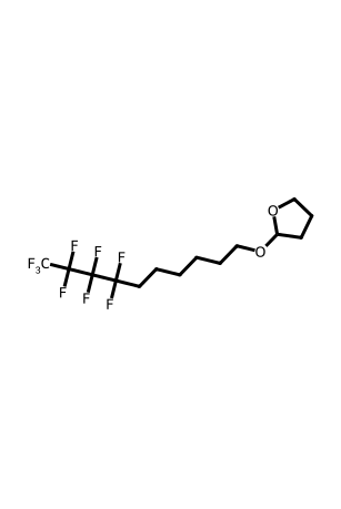 FC(F)(F)C(F)(F)C(F)(F)C(F)(F)CCCCCCOC1CCCO1